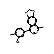 Cc1ccc(-c2nnc(C)c3cc4c(cc23)OCO4)cc1N